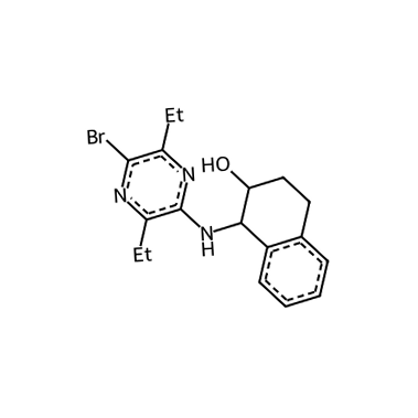 CCc1nc(NC2c3ccccc3CCC2O)c(CC)nc1Br